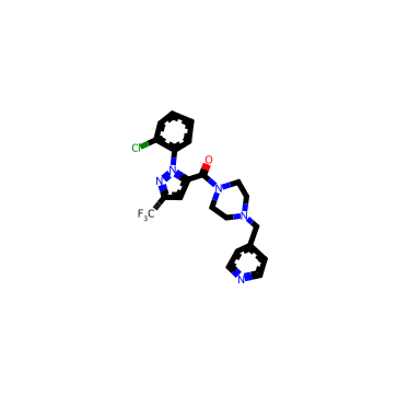 O=C(c1cc(C(F)(F)F)nn1-c1ccccc1Cl)N1CCN(Cc2ccncc2)CC1